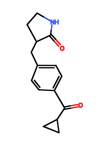 O=C1NCCC1Cc1ccc(C(=O)C2CC2)cc1